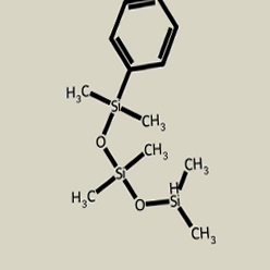 C[SiH](C)O[Si](C)(C)O[Si](C)(C)c1ccccc1